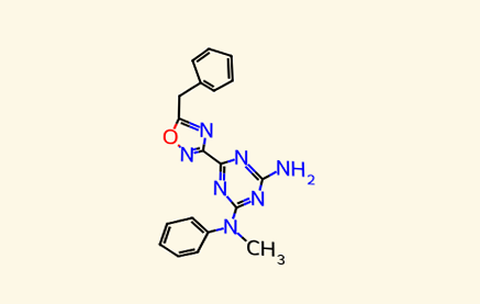 CN(c1ccccc1)c1nc(N)nc(-c2noc(Cc3ccccc3)n2)n1